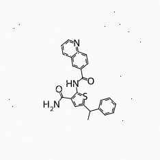 CC(c1ccccc1)c1cc(C(N)=O)c(NC(=O)c2ccc3ncccc3c2)s1